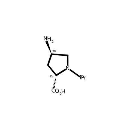 CC(C)N1C[C@H](N)C[C@H]1C(=O)O